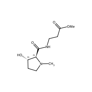 COC(=O)CCNC(=O)[C@@H]1[C@@H](O)CCN1C